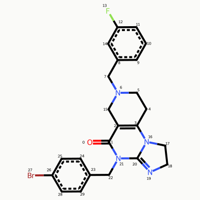 O=C1C2=C(CCN(Cc3cccc(F)c3)C2)N2CCN=C2N1Cc1ccc(Br)cc1